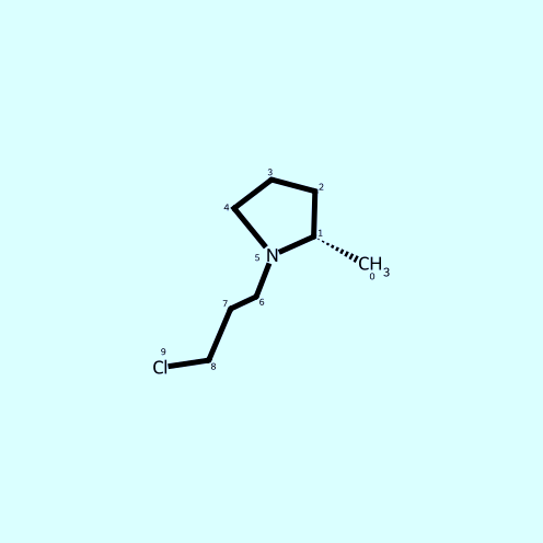 C[C@H]1CCCN1CCCCl